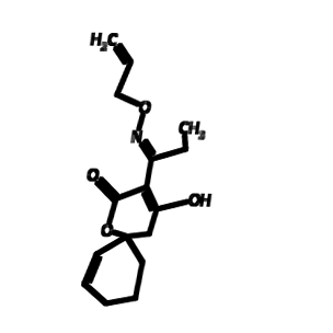 C=CCON=C(CC)C1=C(O)CC2(C=CCCC2)OC1=O